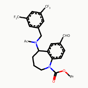 CC(=O)N(Cc1cc(C(F)(F)F)cc(C(F)(F)F)c1)C1CCCN(C(=O)OC(C)C)c2ccc(C=O)cc21